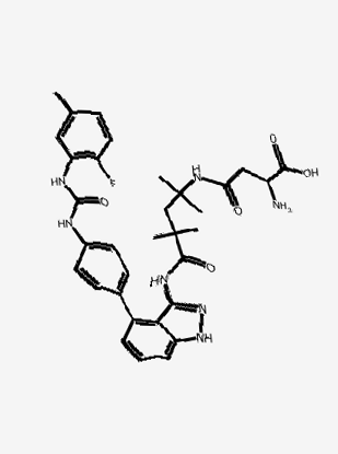 Cc1ccc(F)c(NC(=O)Nc2ccc(-c3cccc4[nH]nc(NC(=O)C(C)(C)CC(C)(C)NC(=O)CC(N)C(=O)O)c34)cc2)c1